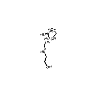 CCO.OB(O)O.OCCNCCO